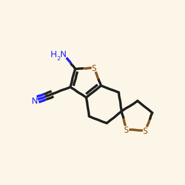 N#Cc1c(N)sc2c1CCC1(CCSS1)C2